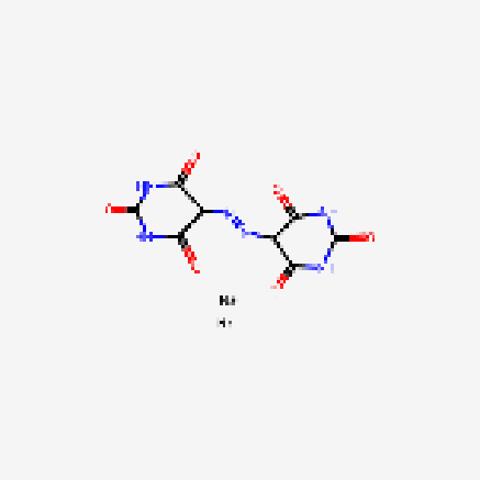 O=C1NC(=O)C(N=NC2C(=O)NC(=O)NC2=O)C(=O)N1.[Na].[Na]